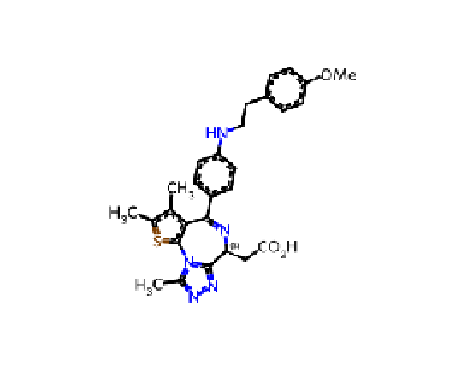 COc1ccc(CCNc2ccc(C3=N[C@@H](CC(=O)O)c4nnc(C)n4-c4sc(C)c(C)c43)cc2)cc1